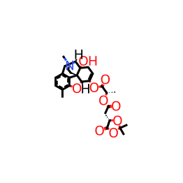 Cc1ccc2c3c1O[C@H]1C(OC(=O)[C@H](C)OC(=O)C[C@@H]4OC(C)(C)OC4=O)=CC[C@@]4(O)[C@@H](C2)N(C)CC[C@]314